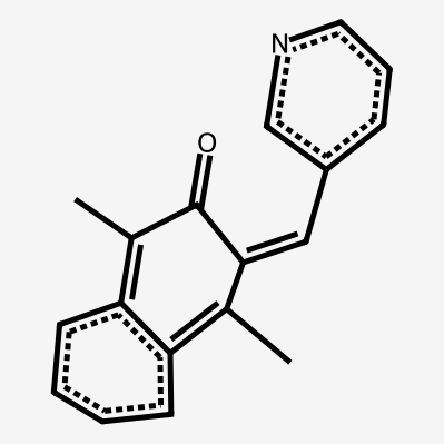 CC1=c2ccccc2=C(C)C(=Cc2cccnc2)C1=O